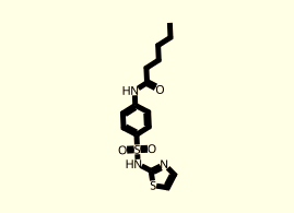 CCCCCC(=O)Nc1ccc(S(=O)(=O)Nc2nccs2)cc1